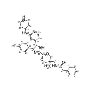 CC1(CNC(=O)Cc2ccccc2)COC(c2nc(-c3ccc(F)cc3)c(-c3ccnc(NC4CCNCC4)n3)[nH]2)OC1